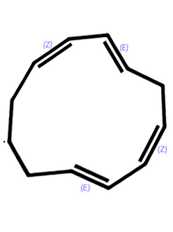 [CH]1C/C=C\C=C\C/C=C\C=C\C1